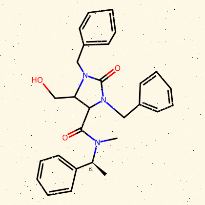 C[C@@H](c1ccccc1)N(C)C(=O)C1C(CO)N(Cc2ccccc2)C(=O)N1Cc1ccccc1